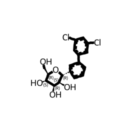 OC[C@H]1O[C@H](c2cccc(-c3cc(Cl)cc(Cl)c3)c2)[C@@H](O)[C@@H](O)[C@@H]1O